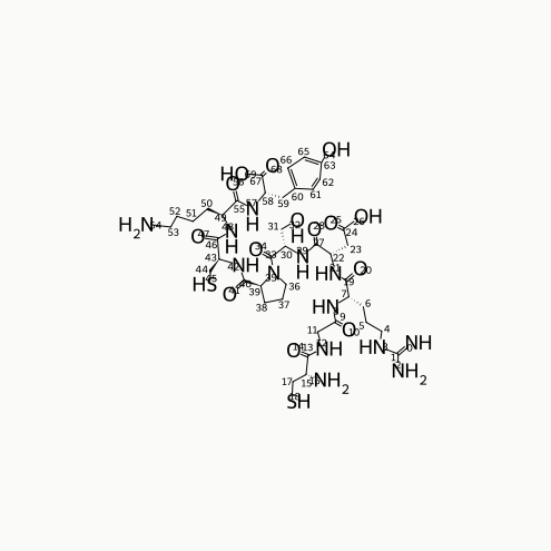 N=C(N)NCCC[C@H](NC(=O)CNC(=O)[C@H](N)CS)C(=O)N[C@@H](CC(=O)O)C(=O)N[C@@H](CO)C(=O)N1CCC[C@H]1C(=O)N[C@@H](CS)C(=O)N[C@@H](CCCCN)C(=O)N[C@@H](Cc1ccc(O)cc1)C(=O)O